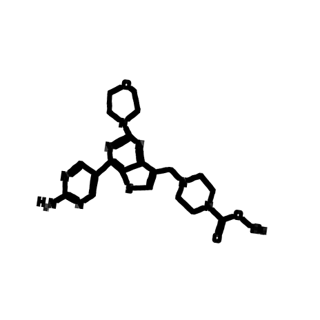 CC(C)(C)OC(=O)N1CCN(Cc2csc3c(-c4cnc(N)nc4)nc(N4CCOCC4)nc23)CC1